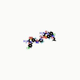 CC(C)Cc1nnc(-c2cc3c(cc2F)S(=O)(=O)C(COC(=O)N2CC(c4nnc(-c5cc6c(cc5F)S(=O)(=O)C[C@H](N)C(=O)N6Cc5ccc(Cl)cc5)o4)CC(F)(F)C2)[C@H](N)C(=O)N3Cc2ccc(Cl)cc2)o1